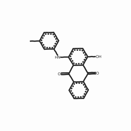 Cc1cccc(Nc2ccc(O)c3c2C(=O)c2ccccc2C3=O)c1